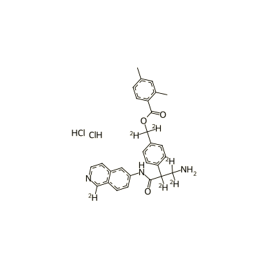 Cl.Cl.[2H]c1nccc2cc(NC(=O)C([2H])(c3ccc(C([2H])([2H])OC(=O)c4ccc(C)cc4C)cc3)C([2H])([2H])N)ccc12